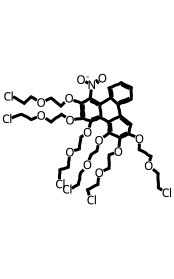 O=[N+]([O-])c1c(OCCOCCCl)c(OCCOCCCl)c(OCCOCCCl)c2c3c(OCCOCCCl)c(OCCOCCCl)c(OCCOCCCl)cc3c3ccccc3c12